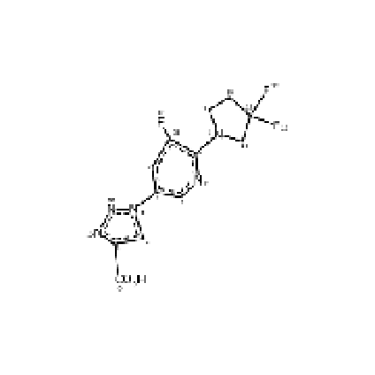 O=C(O)c1cn(-c2cnc(N3CCC(F)(F)C3)c(F)c2)nn1